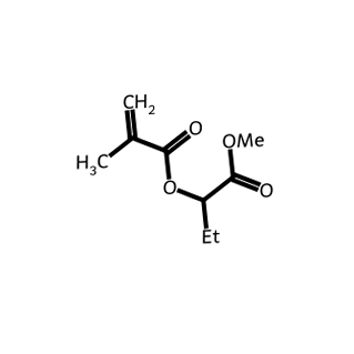 C=C(C)C(=O)OC(CC)C(=O)OC